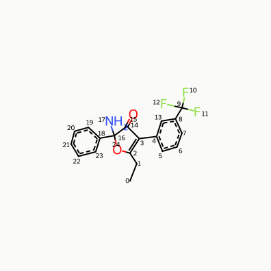 CCC1=C(c2cccc(C(F)(F)F)c2)C(=O)C(N)(c2ccccc2)O1